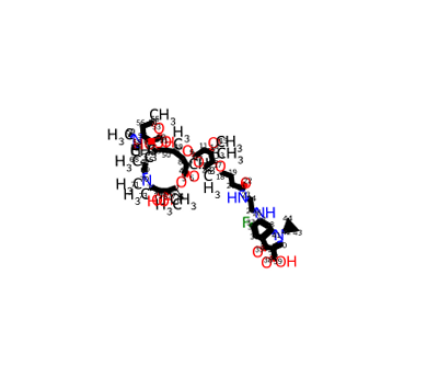 CC[C@H]1OC(=O)[C@H](C)[C@@H](OC2C[C@@](C)(OC)[C@@H](OCCCC(=O)NCCNc3cc4c(cc3F)c(=O)c(C(=O)O)cn4C3CC3)[C@H](C)O2)[C@H](C)[C@@H](O[C@@H]2O[C@H](C)C[C@H](N(C)C)[C@H]2O)[C@](C)(O)C[C@@H](C)CN(C)[C@H](C)[C@@H](O)[C@]1(C)O